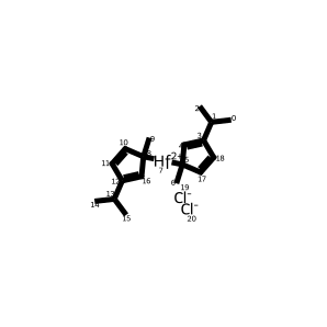 CC(C)C1=C[C](C)([Hf+2][C]2(C)C=CC(C(C)C)=C2)C=C1.[Cl-].[Cl-]